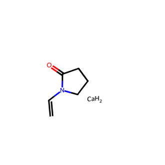 C=CN1CCCC1=O.[CaH2]